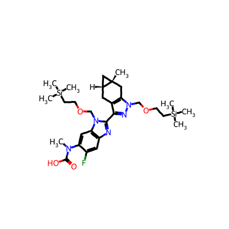 CN(C(=O)O)c1cc2c(cc1F)nc(-c1nn(COCC[Si](C)(C)C)c3c1C[C@@H]1C[C@]1(C)C3)n2COCC[Si](C)(C)C